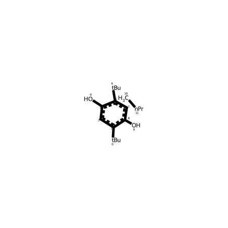 CC(C)(C)c1cc(O)c(C(C)(C)C)cc1O.CCCC